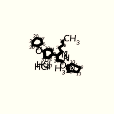 CCCCc1nnc(OC2CC3CCC(C2)N3C)cc1-c1ccc(OC2CCCCC2)cc1.Cl.Cl